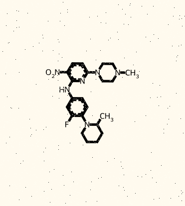 CC1CCCCN1c1ccc(Nc2nc(N3CCN(C)CC3)ccc2[N+](=O)[O-])cc1F